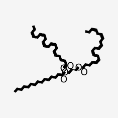 CC/C=C\C/C=C\C/C=C\C/C=C\C/C=C\CCCC(=O)OC[C@@H](COC(=O)CCCCCCCCCCCCCC)OC(=O)CCC/C=C\C/C=C\C/C=C\C/C=C\C/C=C\CC